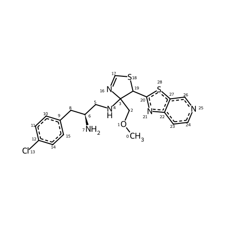 COCC1(NC[C@@H](N)Cc2ccc(Cl)cc2)N=CSC1c1nc2ccncc2s1